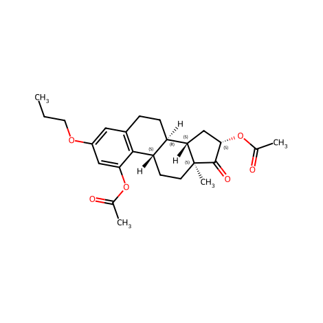 CCCOc1cc2c(c(OC(C)=O)c1)[C@H]1CC[C@]3(C)C(=O)[C@@H](OC(C)=O)C[C@H]3[C@@H]1CC2